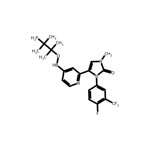 Cn1cc(-c2cc(BOC(C)(C)C(C)(C)P)ccn2)n(-c2ccc(F)c(C(F)(F)F)c2)c1=O